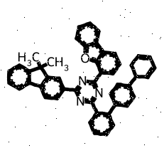 CC1(C)c2ccccc2-c2ccc(-c3nc(-c4ccccc4-c4ccc(C5C=CC=CC5)cc4)nc(-c4cccc5c4oc4ccccc45)n3)cc21